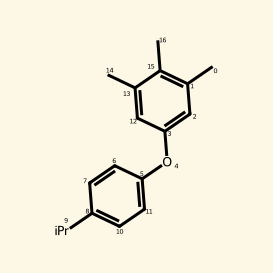 Cc1cc(Oc2ccc(C(C)C)cc2)cc(C)c1C